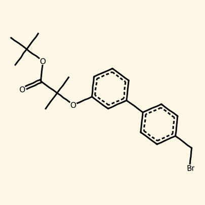 CC(C)(C)OC(=O)C(C)(C)Oc1cccc(-c2ccc(CBr)cc2)c1